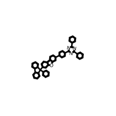 c1ccc(-c2nc(-c3ccccc3)nc(-c3ccc(-c4ccc5c(c4)oc4cc(C6(c7ccccc7)c7ccccc7-c7ccccc76)ccc45)cc3)n2)cc1